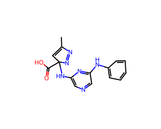 CC1=CC(Nc2cncc(Nc3ccccc3)n2)(C(=O)O)N=N1